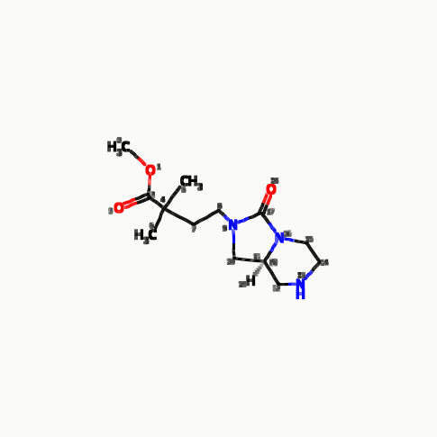 COC(=O)C(C)(C)CCN1C[C@@H]2CNCCN2C1=O